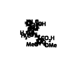 COCOc1cc(OC)cc(CCC[C@@H]2OC(C)(C)O[C@@H]2C(/C=C\C[C@H](C)O)OC(=O)c2ccccc2)c1C(=O)O